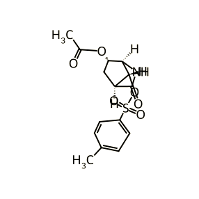 CC(=O)O[C@H]1C[C@@H]2C(=O)N[C@H]1[C@@H]2OS(=O)(=O)c1ccc(C)cc1